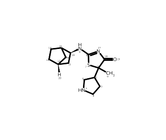 CC1(C2CCNC2)SC(N[C@H]2C[C@@H]3CCC2C3)=NC1=O